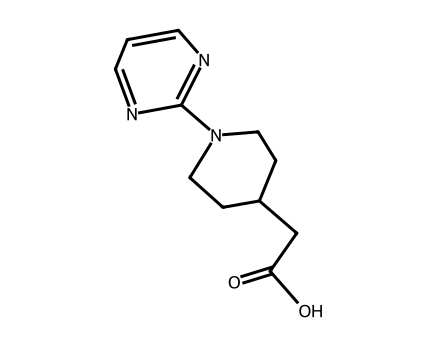 O=C(O)CC1CCN(c2ncccn2)CC1